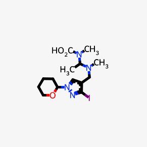 CC(N(C)Cc1cn(C2CCCCO2)nc1I)N(C)C(=O)O